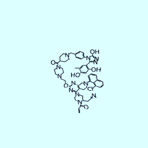 C=CC(=O)N1CCN(c2nc(OCCN3CCN(C(=O)C4CCN(Cc5ccc(-n6c(O)nnc6-c6cc(C)c(O)cc6O)cc5)CC4)CC3)nc3c2CCN(c2cccc4cccc(Cl)c24)C3)CC1CC#N